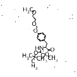 COCCOCOc1ccc(CC(NC(=O)OC(C)(C)C)C(=O)OC)cc1